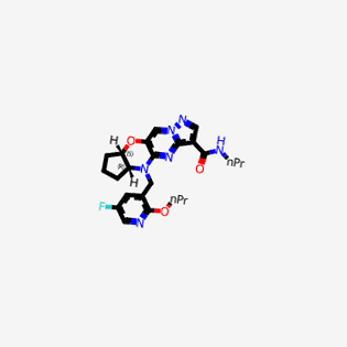 CCCNC(=O)c1cnn2cc3c(nc12)N(Cc1cc(F)cnc1OCCC)[C@@H]1CCC[C@@H]1O3